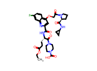 CCOC(=O)CC[C@H](NC(=O)c1cc(OCC(=O)N2CCC[C@H]2C(=O)NC2CC2)c2ccc(F)cc2n1)C(=O)N1CCN(C(=O)O)CC1